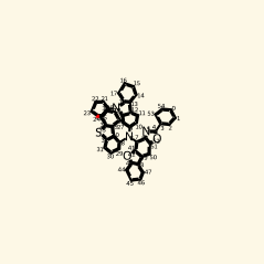 c1ccc(-c2nc3c(N(c4ccc5c6ccccc6n(-c6ccccc6)c5c4)c4cccc5sc6ccccc6c45)c4oc5ccccc5c4cc3o2)cc1